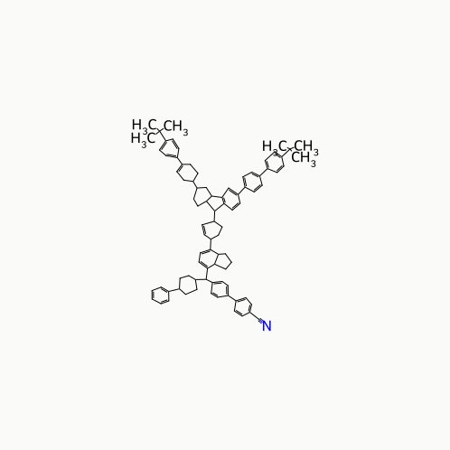 CC(C)(C)c1ccc(C2=CCC(C3CCC4C(C3)c3cc(-c5ccc(-c6ccc(C(C)(C)C)cc6)cc5)ccc3C4C3C=CC(C4=CC=C(C(c5ccc(-c6ccc(C#N)cc6)cc5)C5CCC(c6ccccc6)CC5)C5CCCC45)CC3)CC2)cc1